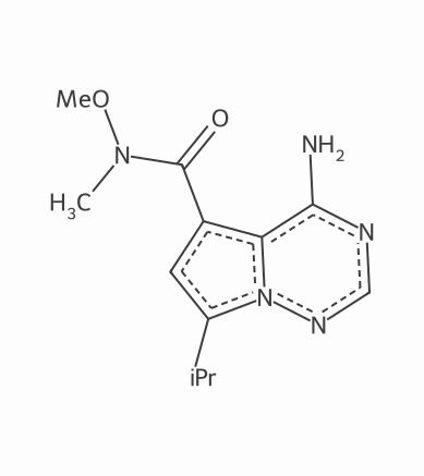 CON(C)C(=O)c1cc(C(C)C)n2ncnc(N)c12